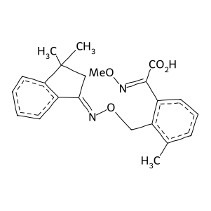 CON=C(C(=O)O)c1cccc(C)c1CO/N=C1\CC(C)(C)c2ccccc21